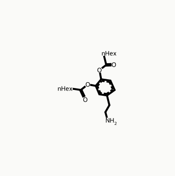 CCCCCCC(=O)Oc1ccc(CCN)cc1OC(=O)CCCCCC